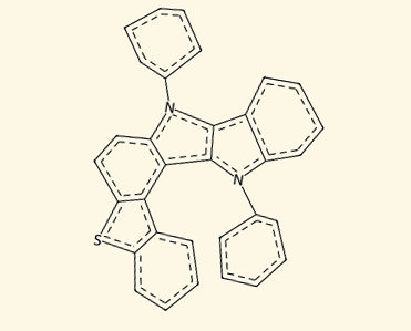 c1ccc(-n2c3ccc4sc5ccccc5c4c3c3c2c2ccccc2n3-c2ccccc2)cc1